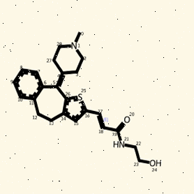 CN1CCC(=C2c3ccccc3CCc3cc(/C=C/C(=O)NCCO)sc32)CC1